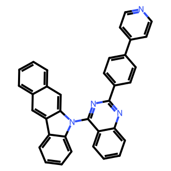 c1ccc2cc3c(cc2c1)c1ccccc1n3-c1nc(-c2ccc(-c3ccncc3)cc2)nc2ccccc12